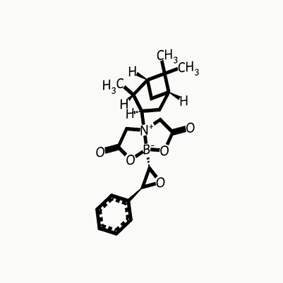 C[C@@H]1[C@H]2C[C@@H](C[C@H]1[N+]13CC(=O)O[B-]1([C@@H]1O[C@H]1c1ccccc1)OC(=O)C3)C2(C)C